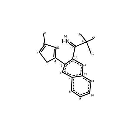 CC1=CCC(c2cc3ccccc3cc2C(=N)C(C)(C)C)=C1